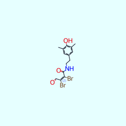 Cc1cc(CCNC(=O)/C(Br)=C(/Br)C=O)cc(C)c1O